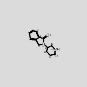 O=C1c2ccccc2CN1C1CCCNC1